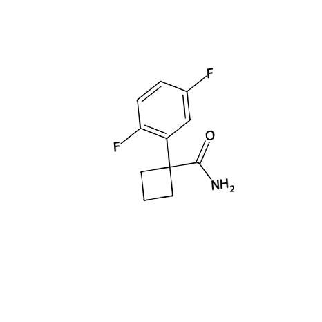 NC(=O)C1(c2cc(F)ccc2F)CCC1